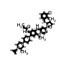 C=CC(=O)Nc1cc(Nc2cc(N3OCC[C@@H]3Cc3cccc(Cl)c3C)ncn2)c(OC)cc1N1CCC(N2CCN(C3CC3)[C@@H](C)C2)CC1